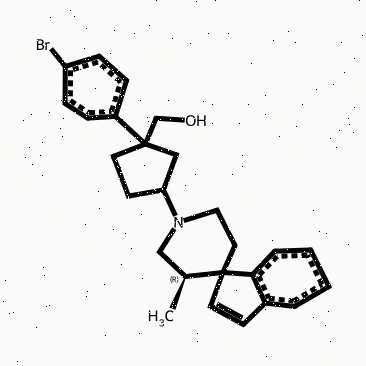 C[C@H]1CN(C2CCC(CO)(c3ccc(Br)cc3)C2)CCC12C=Cc1ccccc12